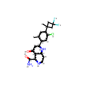 Cc1cc(C2(C)CC(F)(F)C2)c(Cl)cc1-c1cc(=O)c2c(C(N)=O)nccc2[nH]1